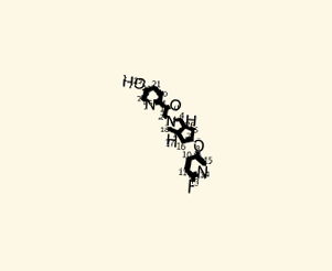 O=C(CN1C[C@H]2C[C@H](Oc3ccc(F)nc3)C[C@H]2C1)c1ccc(O)cn1